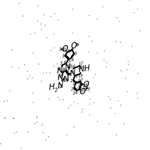 COc1ccc(-c2cnc3nc(N)nc(N4CCNCC4Cc4ccc5c(c4)OCO5)c3n2)cc1OC